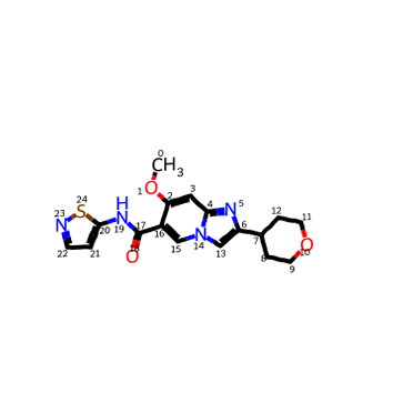 COc1cc2nc(C3CCOCC3)cn2cc1C(=O)Nc1ccns1